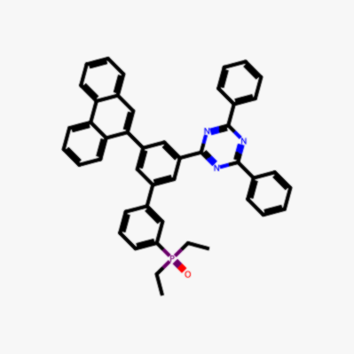 CCP(=O)(CC)c1cccc(-c2cc(-c3nc(-c4ccccc4)nc(-c4ccccc4)n3)cc(-c3cc4ccccc4c4ccccc34)c2)c1